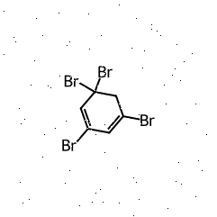 BrC1=CC(Br)(Br)CC(Br)=C1